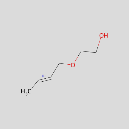 C/C=C/COCCO